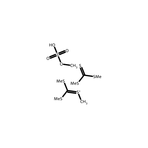 COS(=O)(=O)O.CSC(=S)SC.CSC(SC)=[S+]C